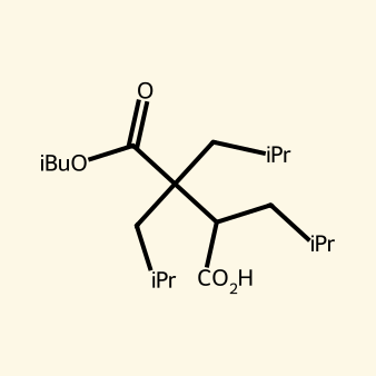 CC(C)COC(=O)C(CC(C)C)(CC(C)C)C(CC(C)C)C(=O)O